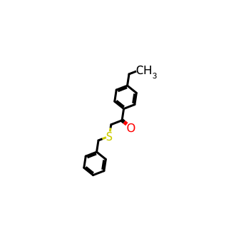 CCc1ccc(C(=O)CSCc2ccccc2)cc1